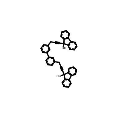 OC1(C#CCc2cccc(-c3cccc(CC#CC4(O)c5ccccc5-c5ccccc54)c3)c2)c2ccccc2-c2ccccc21